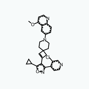 COc1ccnc2ccc(N3CCC4(C=C(c5c(-c6ccncc6Cl)noc5C5CC5)C4)CC3)cc12